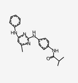 Cc1cc(Nc2ccccc2)nc(Nc2ccc(NC(=O)C(C)C)cc2)n1